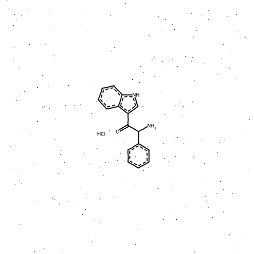 Cl.NC(C(=O)c1c[nH]c2ccccc12)c1ccccc1